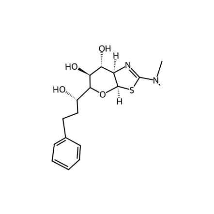 CN(C)C1=N[C@@H]2[C@@H](O)[C@H](O)C([C@@H](O)CCc3ccccc3)O[C@@H]2S1